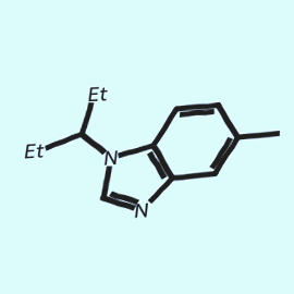 CCC(CC)n1cnc2cc(C)ccc21